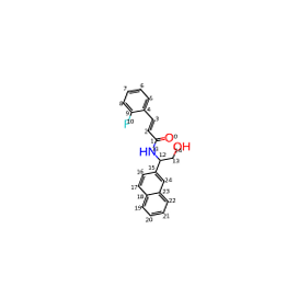 O=C(C=Cc1ccccc1F)NC(CO)c1ccc2ccccc2c1